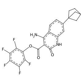 Nc1c(C(=O)Oc2c(F)c(F)c(F)c(F)c2F)c(=O)[nH]c2cc(C34CCC(C3)C4)ccc12